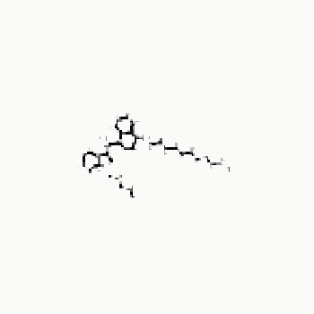 CCCCCn1cc(C(=O)c2ccc(OCCCCCCCCCCO)c3ccccc23)c2ccccc21